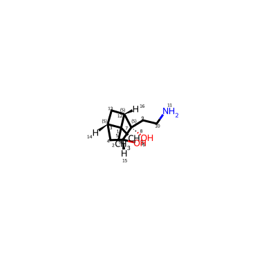 CC1(C)[C@@H]2C[C@@H](O)[C@](O)(CCN)[C@H]1C2